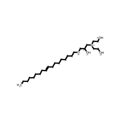 CCCCCCCCC=CCCCCCCCCOCC(O)CN(CCO)CCO